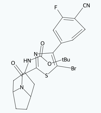 CC(C)(C)OC(=O)NC1CC2CCC(C1)N2C(=O)c1nc(-c2ccc(C#N)c(F)c2)c(Br)s1